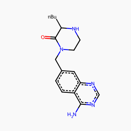 CCCCC1NCCN(Cc2ccc3c(N)ncnc3c2)C1=O